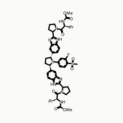 COC(=O)N[C@H](C(=O)N1CCCC1c1nc2cc([C@H]3CC[C@H](c4ccc5[nH]c(C6CCCN6C(=O)[C@@H](NC(=O)OC)C(C)C)nc5c4)N3c3ccc(S(C)(=O)=O)c(F)c3)ccc2[nH]1)C(C)C